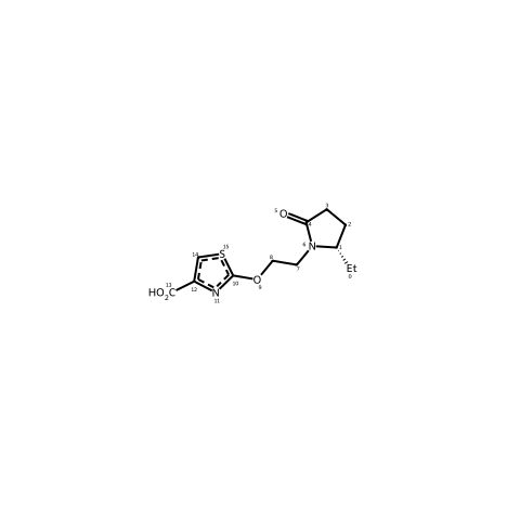 CC[C@H]1CCC(=O)N1CCOc1nc(C(=O)O)cs1